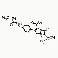 CNC(=O)NCc1ccc(C2=C(C(=O)O)N3C(=O)C([C@@H](C)O)[C@H]3C2)cc1